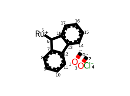 [C]=O.[C]=O.[Cl-].[Ru+][CH]1c2ccccc2-c2ccccc21